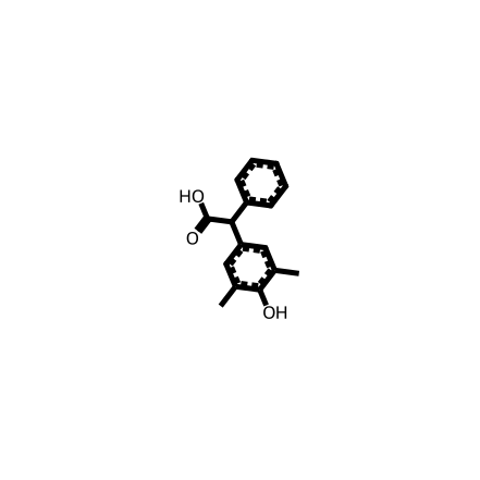 Cc1cc(C(C(=O)O)c2ccccc2)cc(C)c1O